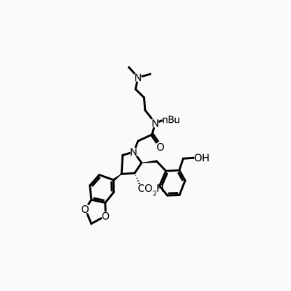 CCCCN(CCCN(C)C)C(=O)CN1C[C@H](c2ccc3c(c2)OCO3)[C@@H](C(=O)O)[C@@H]1Cc1ccccc1CO